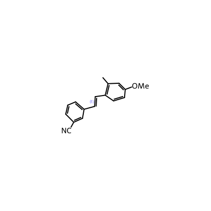 COc1ccc(/C=C/c2cccc(C#N)c2)c(C)c1